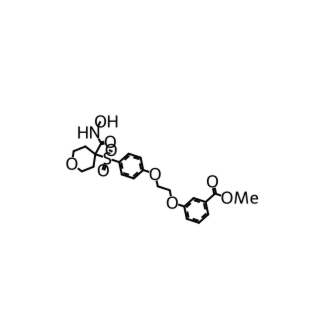 COC(=O)c1cccc(OCCOc2ccc(S(=O)(=O)C3(C(=O)NO)CCOCC3)cc2)c1